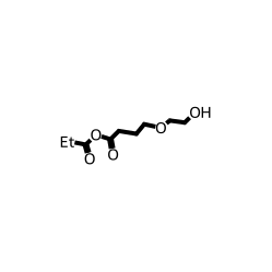 CCC(=O)OC(=O)CCCOCCO